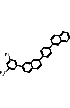 CCc1cc(-c2ccc3ccc(-c4ccc(-c5ccc6ccccc6c5)cc4)cc3c2)cc(C(F)(F)F)c1